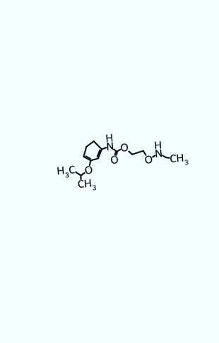 CCNOCCOC(=O)NC1=CC(OC(C)C)=CCC1